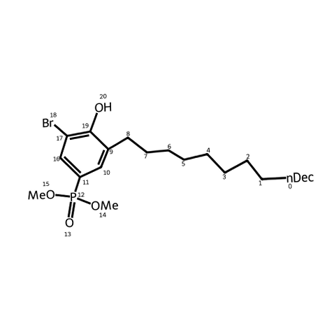 CCCCCCCCCCCCCCCCCCc1cc(P(=O)(OC)OC)cc(Br)c1O